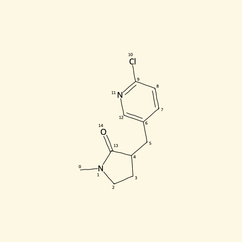 CN1CCC(Cc2ccc(Cl)nc2)C1=O